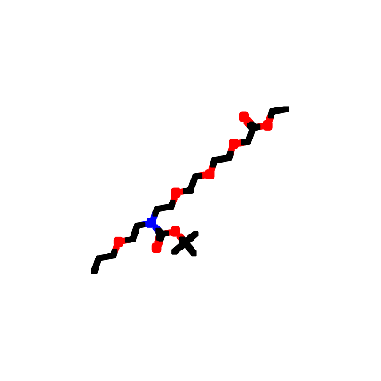 CCCOCCN(CCOCCOCCOCC(=O)OCC)C(=O)OC(C)(C)C